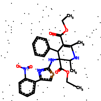 CCOC(=O)C1=C(C)NC(C)C(Nc2nc(-c3ccccc3[N+](=O)[O-])cs2)(C(=O)OCC)C1c1ccccc1